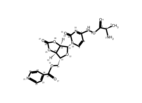 C[C@@H](N)C(=O)ONc1ccn([C@@H]2O[C@H](COC(=O)c3ccncc3)[C@H]3OC(=O)O[C@H]32)c(=O)n1